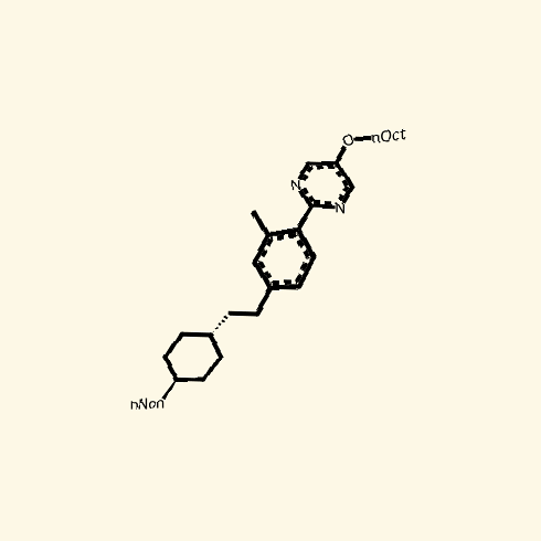 CCCCCCCCC[C@H]1CC[C@H](CCc2ccc(-c3ncc(OCCCCCCCC)cn3)c(C)c2)CC1